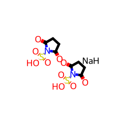 O=C1CCC(=O)N1S(=O)(=O)O.O=C1CCC(=O)N1S(=O)(=O)O.[NaH]